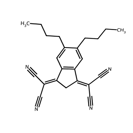 CCCCc1cc2c(cc1CCCC)C(=C(C#N)C#N)CC2=C(C#N)C#N